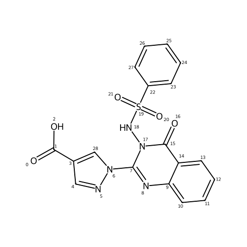 O=C(O)c1cnn(-c2nc3ccccc3c(=O)n2NS(=O)(=O)c2ccccc2)c1